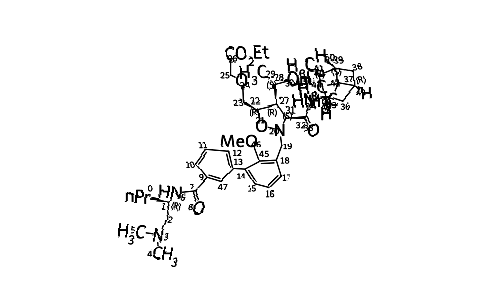 CCC[C@H](CN(C)C)NC(=O)c1cccc(-c2cccc(CN3O[C@@H](COCC(=O)OCC)[C@@H]([C@H](C)O)[C@H]3C(=O)N[C@H]3C[C@H]4C[C@@H]([C@@H]3C)C4(C)C)c2OC)c1